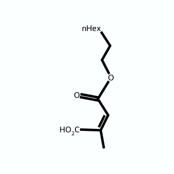 CCCCCCCCOC(=O)/C=C(/C)C(=O)O